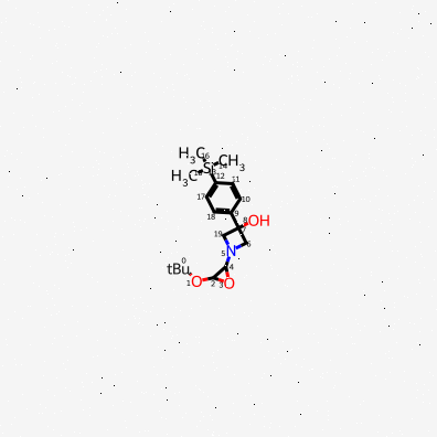 CC(C)(C)OC1OC1N1CC(O)(c2ccc([Si](C)(C)C)cc2)C1